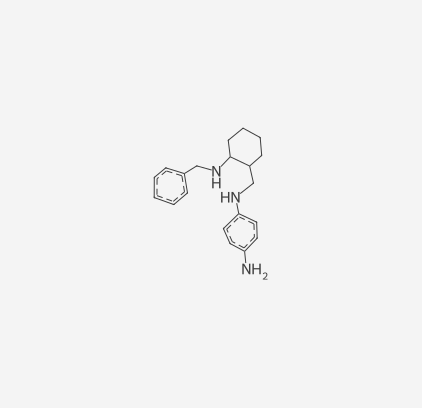 Nc1ccc(NCC2CCCCC2NCc2ccccc2)cc1